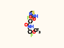 O=C(NCc1ccc(F)c(OC(F)(F)F)c1)c1ccc(S(=O)(=O)Nc2nccs2)c(F)c1